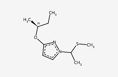 CC[C@H](C)Oc1ccn(C(C)SC)n1